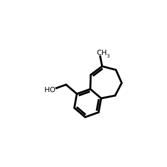 CC1=Cc2c(CO)cccc2CCC1